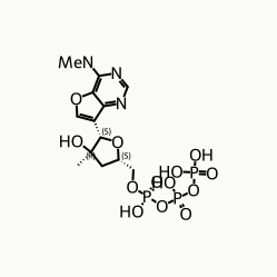 CNc1ncnc2c([C@@H]3O[C@H](COP(=O)(O)OP(=O)(O)OP(=O)(O)O)C[C@@]3(C)O)coc12